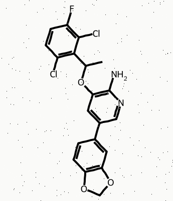 CC(Oc1cc(-c2ccc3c(c2)OCO3)cnc1N)c1c(Cl)ccc(F)c1Cl